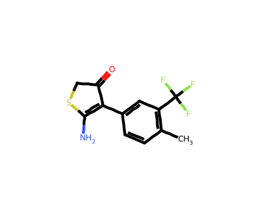 Cc1ccc(C2=C(N)SCC2=O)cc1C(F)(F)F